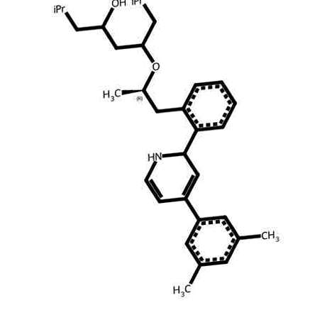 Cc1cc(C)cc(C2=CC(c3ccccc3C[C@@H](C)OC(CC(C)C)CC(O)CC(C)C)NC=C2)c1